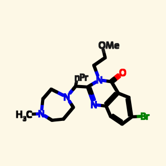 CCCC(c1nc2ccc(Br)cc2c(=O)n1CCOC)N1CCCN(C)CC1